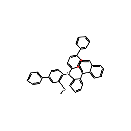 CSc1cc(-c2ccccc2)ccc1N(c1ccc(-c2ccccc2)cc1)c1ccccc1-c1cccc2ccccc12